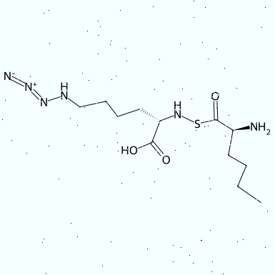 CCCC[C@H](N)C(=O)SN[C@@H](CCCCNN=[N+]=[N-])C(=O)O